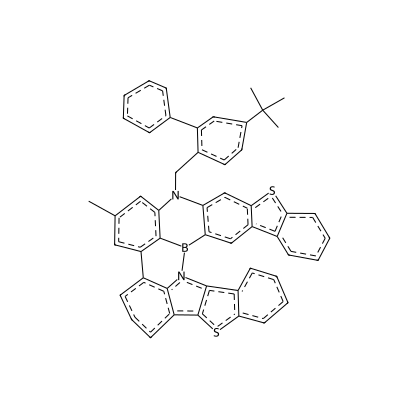 Cc1cc2c3c(c1)N(Cc1ccc(C(C)(C)C)cc1-c1ccccc1)c1cc4sc5ccccc5c4cc1B3n1c3c-2cccc3c2sc3ccccc3c21